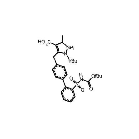 CCCCN1NC(C)C(C(=O)O)=C1Cc1ccc(-c2ccccc2S(=O)(=O)NC(=O)OCC(C)C)cc1